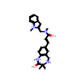 CN(Cc1cc2ccccc2n1C)C(=O)/C=C/c1ccc2c(c1)CNC(C)(C)C(=O)N2